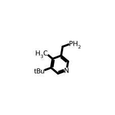 Cc1c(CP)cncc1C(C)(C)C